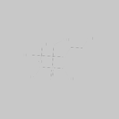 CCCOC(O[SiH3])(C(C)(C)C)P(=O)(OC)OC